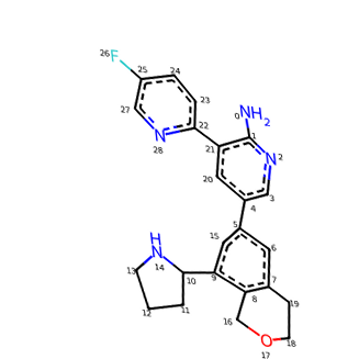 Nc1ncc(-c2cc3c(c(C4CCCN4)c2)COCC3)cc1-c1ccc(F)cn1